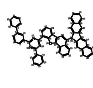 c1ccc(-c2cccc(-c3nc(-c4ccccc4)nc(-c4cccc5c4oc4c6ccccc6c(-n6c7cc8ccccc8cc7c7cc8ccccc8cc76)cc54)n3)c2)cc1